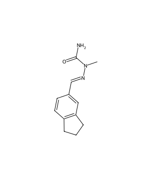 CN(N=Cc1ccc2c(c1)CCC2)C(N)=O